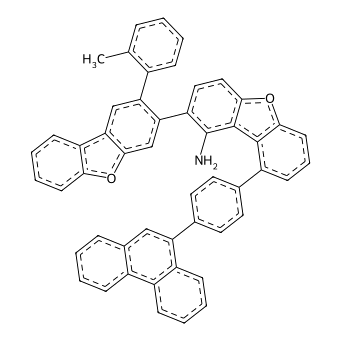 Cc1ccccc1-c1cc2c(cc1-c1ccc3oc4cccc(-c5ccc(-c6cc7ccccc7c7ccccc67)cc5)c4c3c1N)oc1ccccc12